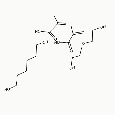 C=C(C)C(=O)O.C=C(C)C(=O)O.OCCCCCCO.OCCSCCO